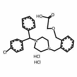 Cl.Cl.O=C(O)COCc1ccccc1CN1CCN(C(c2ccccc2)c2ccc(Cl)cc2)CC1